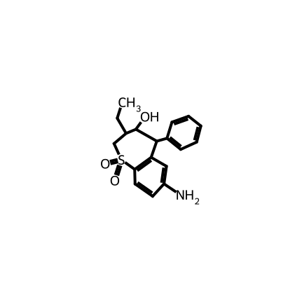 CCC1CS(=O)(=O)c2ccc(N)cc2C(c2ccccc2)C1O